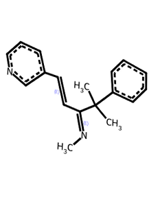 C/N=C(\C=C\c1cccnc1)C(C)(C)c1ccccc1